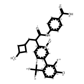 CC1CC(CC(C(=O)Nc2ccc(C(=O)O)cc2)c2ccc(-c3c(C(F)(F)F)ccc(Cl)c3F)c[n+]2[O-])C1